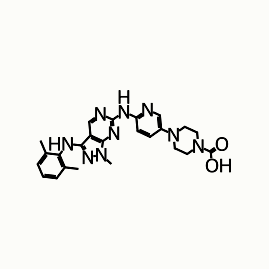 Cc1cccc(C)c1Nc1nn(C)c2nc(Nc3ccc(N4CCN(C(=O)O)CC4)cn3)ncc12